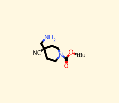 CC(C)(C)OC(=O)N1CCC(C#N)(CN)CC1